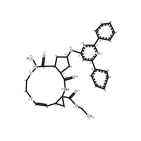 CCOC(=O)C12CC1C=CCCCCN(C)C(=O)C1CC(Oc3cc(-c4ccccc4)nc(-c4ccccc4)n3)CC1C(=O)N2